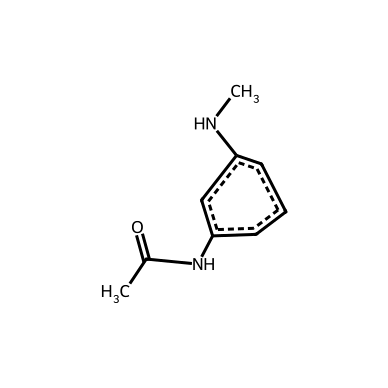 CNc1cccc(NC(C)=O)c1